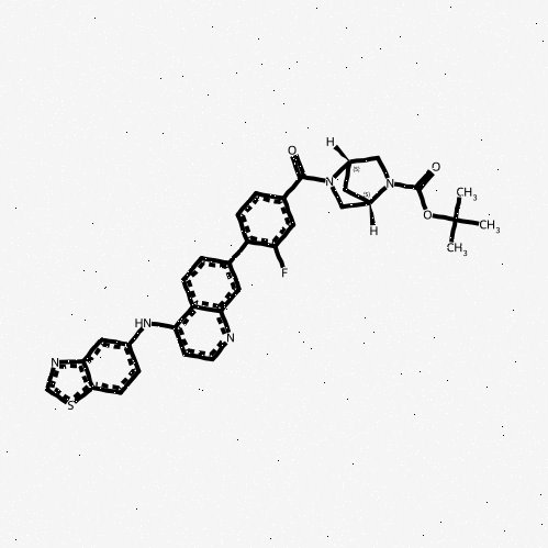 CC(C)(C)OC(=O)N1C[C@@H]2C[C@H]1CN2C(=O)c1ccc(-c2ccc3c(Nc4ccc5scnc5c4)ccnc3c2)c(F)c1